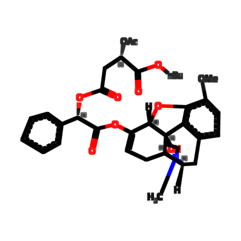 CCCCOC(=O)[C@H](CC(=O)O[C@H](C(=O)OC1=CC[C@@]2(O)[C@H]3Cc4ccc(OC)c5c4[C@@]2(CCN3C)[C@H]1O5)c1ccccc1)OC(C)=O